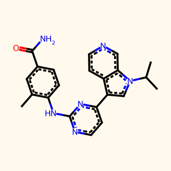 Cc1cc(C(N)=O)ccc1Nc1nccc(-c2cn(C(C)C)c3cnccc23)n1